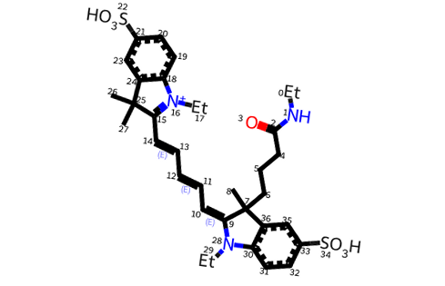 CCNC(=O)CCCC1(C)\C(=C/C=C/C=C/C2=[N+](CC)c3ccc(S(=O)(=O)O)cc3C2(C)C)N(CC)c2ccc(S(=O)(=O)O)cc21